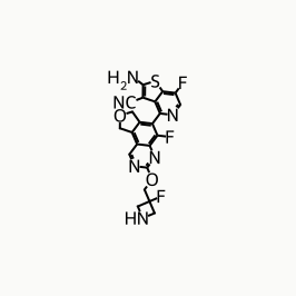 N#Cc1c(N)sc2c(F)cnc(-c3c4c(c5cnc(OCC6(F)CNC6)nc5c3F)COC4)c12